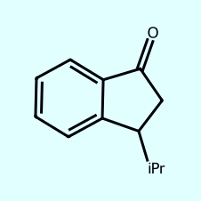 CC(C)C1CC(=O)c2ccccc21